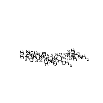 Cc1cc(-n2ccc(NC(=O)N3CCN(C(=O)C(C)(C)N)CC3)nc2=O)ccc1CCN1C[C@@H]2C(CN)[C@@H]2C1